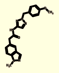 COc1ccc(Cn2ncc(NC(=O)Cc3ccc4c(cnn4C)c3)n2)cc1